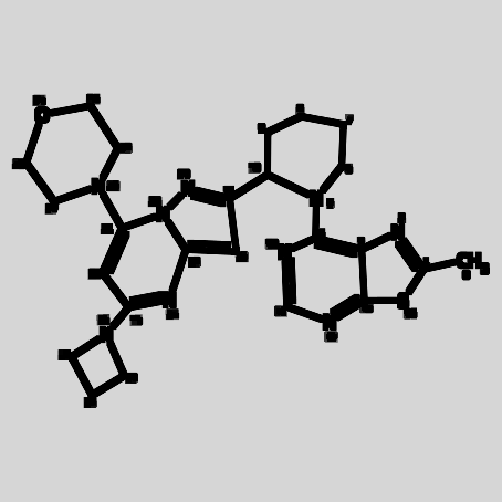 Cc1nc2c(N3CCCCC3c3cc4nc(N5CCC5)cc(N5CCOCC5)n4n3)ncnc2s1